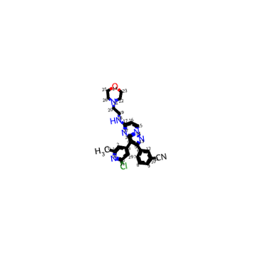 Cc1cc(-c2c(-c3cccc(C#N)c3)nn3ccc(NCCN4CCOCC4)nc23)cc(Cl)n1